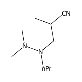 CCCN(CC(C)C#N)N(C)C